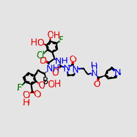 O=C(NCCN1CCN(C(=O)NC(C(=O)N[C@H]2Cc3ccc(F)c(C(=O)O)c3OB2O)c2cc(F)c(O)c(O)c2Cl)C1=O)c1ccncc1